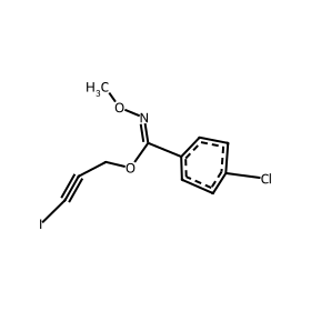 CON=C(OCC#CI)c1ccc(Cl)cc1